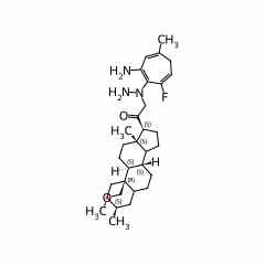 COC[C@]12CC[C@H](C)CC1CC[C@H]1C3CC[C@H](C(=O)CN(N)C4=C(N)C=C(C)CC=C4F)[C@@]3(C)CC[C@@H]12